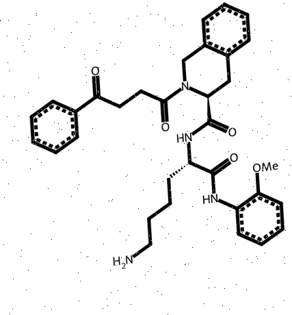 COc1ccccc1NC(=O)[C@H](CCCCN)NC(=O)[C@@H]1Cc2ccccc2CN1C(=O)CCC(=O)c1ccccc1